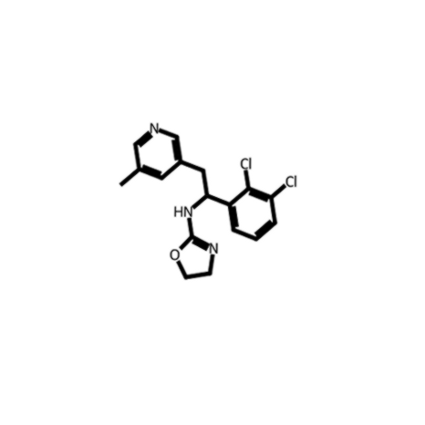 Cc1cncc(CC(NC2=NCCO2)c2cccc(Cl)c2Cl)c1